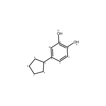 Oc1ccc(C2CCCC2)cc1O